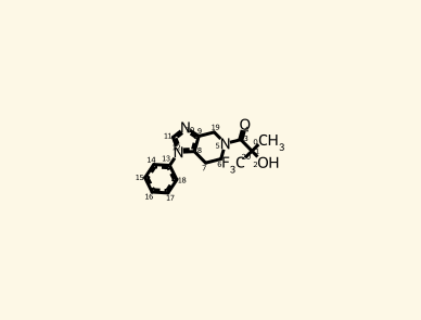 CC(O)(C(=O)N1CCc2c(ncn2-c2ccccc2)C1)C(F)(F)F